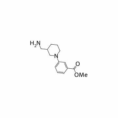 COC(=O)c1cccc(N2CCCC(CN)C2)c1